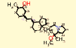 C=C1CC/C(=C/C=C2\CCCC3(C)C2CC[C@@H]3CCN2CCCC2C(C)(C)OC)CC1O